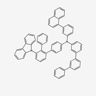 c1ccc(-c2cccc(-c3cccc(N(c4ccc(-c5cccc(-n6c7ccccc7c7ccccc76)c5-c5ccccc5)cc4)c4cccc(-c5cccc6ccccc56)c4)c3)c2)cc1